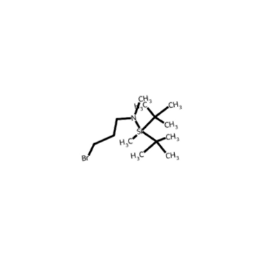 CN(CCCBr)[Si](C)(C(C)(C)C)C(C)(C)C